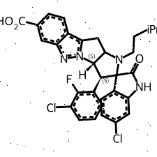 CC(C)CCN1C2Cc3c4ccc(C(=O)O)cc4nn3[C@H]2[C@H](c2cccc(Cl)c2F)C12C(=O)Nc1cc(Cl)ccc12